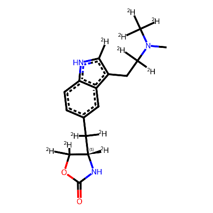 [2H]c1[nH]c2ccc(C([2H])([2H])[C@]3([2H])NC(=O)OC3([2H])[2H])cc2c1CC([2H])([2H])N(C)C([2H])([2H])[2H]